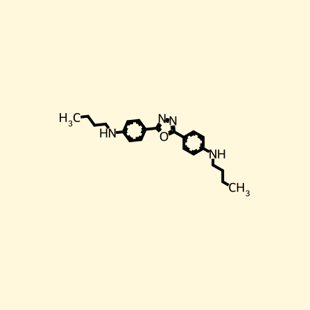 CCCCNc1ccc(-c2nnc(-c3ccc(NCCCC)cc3)o2)cc1